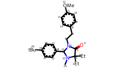 CCC1(CC)C(=O)N(CCc2ccc(OC)cc2)C(c2ccc(C(C)(C)C)cc2)N1C